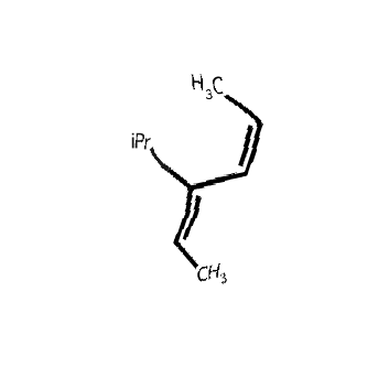 C/C=C\C(=C/C)C(C)C